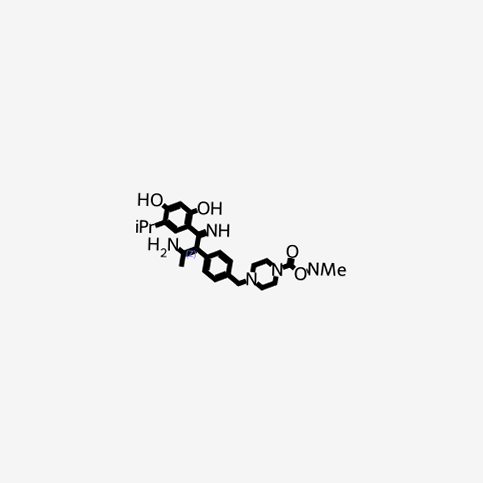 CNOC(=O)N1CCN(Cc2ccc(/C(C(=N)c3cc(C(C)C)c(O)cc3O)=C(\C)N)cc2)CC1